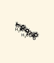 COC(=O)[C@H](Cc1ccc(Nc2nccc(NCC3CC3)c2N)cc1)NC1=CC(=O)C12CCCCC2